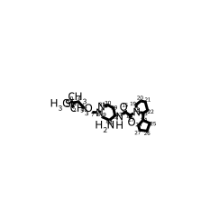 C[Si](C)(C)CCOCN1CC(N)[C@@H](NC(=O)C(=O)N2CCCCC2C2CCCC2)CC=N1